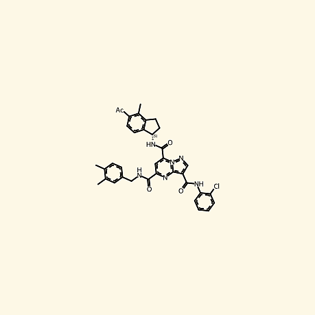 CC(=O)c1ccc2c(c1C)CC[C@@H]2NC(=O)c1cc(C(=O)NCc2ccc(C)c(C)c2)nc2c(C(=O)Nc3ccccc3Cl)cnn12